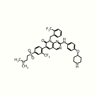 CN(C)CCS(=O)(=O)c1ccc(-c2cc3cnc(Nc4ccc(OC5CCNCC5)cc4)nc3n(Cc3ccccc3C(F)(F)F)c2=O)c(C(F)(F)F)c1